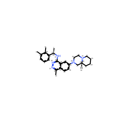 Cc1cccc([C@@H](C)Nc2nnc(C)c3ccc(N4CCN5CCCC[C@@H]5C4)cc23)c1C